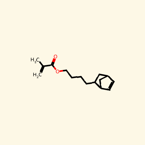 C=C(C)C(=O)OCCCCC1CC2C=CC1C2